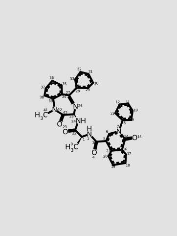 C[C@H](NC(=O)c1cn(-c2ccccc2)c(=O)c2ccccc12)C(=O)N[C@H]1N=C(c2ccccc2)c2ccccc2N(C)C1=O